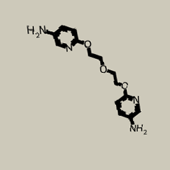 Nc1ccc(OCCOCCOc2ccc(N)cn2)nc1